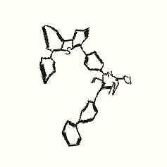 Clc1nc(-c2ccc(-c3ccccc3)cc2)nc(-c2ccc(-c3cccc4c3sc3c(-c5ccccc5)cccc34)cc2)n1